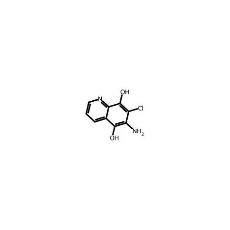 Nc1c(Cl)c(O)c2ncccc2c1O